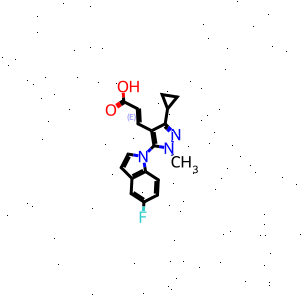 Cn1nc(C2CC2)c(/C=C/C(=O)O)c1-n1ccc2cc(F)ccc21